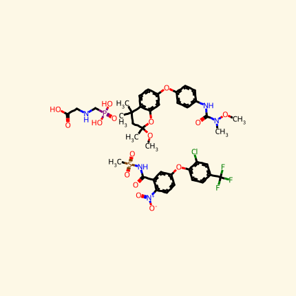 CON(C)C(=O)Nc1ccc(Oc2ccc3c(c2)OC(C)(OC)CC3(C)C)cc1.CS(=O)(=O)NC(=O)c1cc(Oc2ccc(C(F)(F)F)cc2Cl)ccc1[N+](=O)[O-].O=C(O)CNCP(=O)(O)O